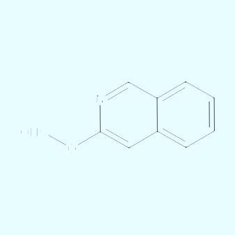 O=COc1cc2ccccc2cn1